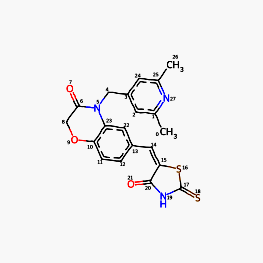 Cc1cc(CN2C(=O)COc3ccc(C=C4SC(=S)NC4=O)cc32)cc(C)n1